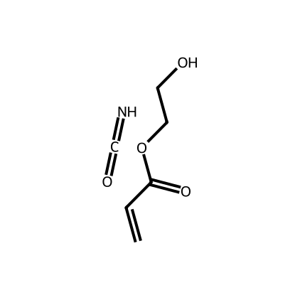 C=CC(=O)OCCO.N=C=O